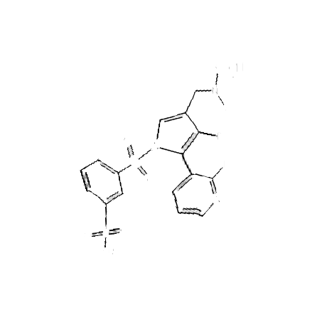 CN(Cc1cn(S(=O)(=O)c2cccc(S(C)(=O)=O)c2)c(-c2cccnc2F)c1F)C(=O)O